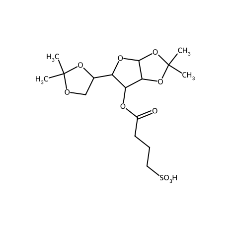 CC1(C)OCC(C2OC3OC(C)(C)OC3C2OC(=O)CCCS(=O)(=O)O)O1